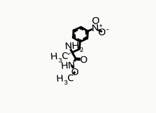 CONC(=O)[C@@](C)(N)Cc1cccc([N+](=O)[O-])c1